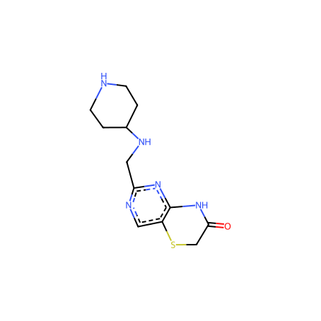 O=C1CSc2cnc(CNC3CCNCC3)nc2N1